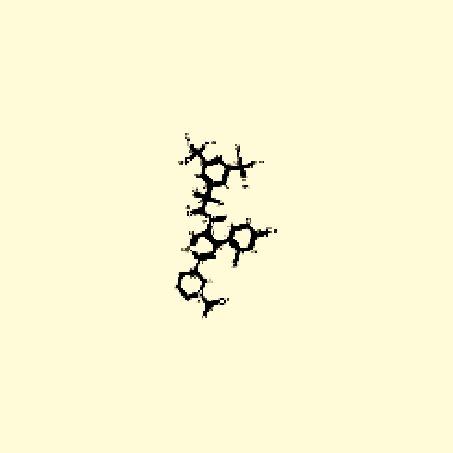 CC(=O)N1CCC[C@@H](c2cc(-c3ccc(F)cc3C)c(N(C)C(=O)C(C)(C)c3cc(C(F)(F)F)cc(C(F)(F)F)c3)cn2)C1